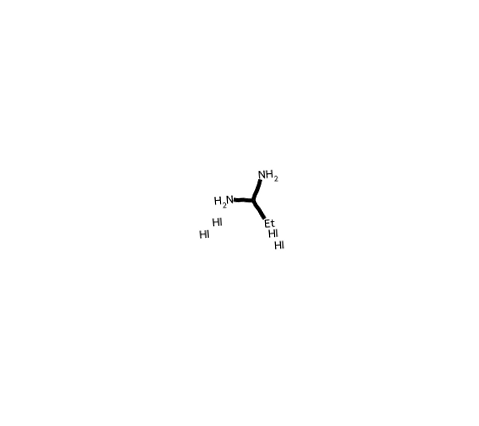 CCC(N)N.I.I.I.I